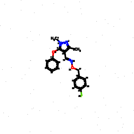 Cc1nn(C)c(Oc2ccccc2)c1C=NOCc1ccc(F)cc1